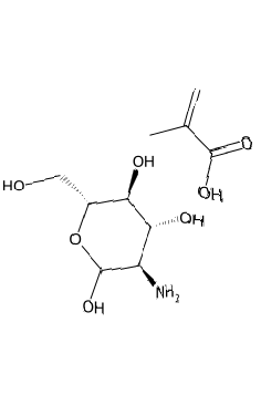 C=C(C)C(=O)O.N[C@H]1C(O)O[C@H](CO)[C@@H](O)[C@@H]1O